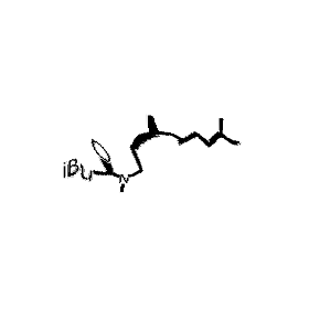 CCC(C)C(=O)N(C)C/C=C(/C)CCC=C(C)C